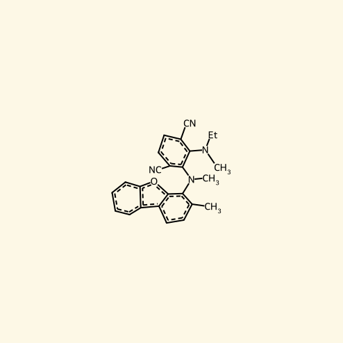 CCN(C)c1c(C#N)ccc(C#N)c1N(C)c1c(C)ccc2c1oc1ccccc12